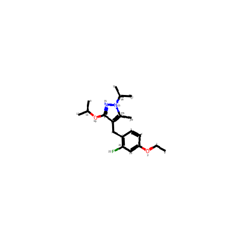 CCOc1ccc(Cc2c(OC(C)C)nn(C(C)C)c2C)c(F)c1